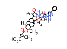 CC(C)C1=C2C3CCC4C(C)(CCC5C(C)C(OC(=O)C6CC(C(=O)O)C6C)CCC54C)C3CCC2(NC(=O)C(C)(C)NC(=O)c2cc(-c3ccccc3)n[nH]2)CC1=O